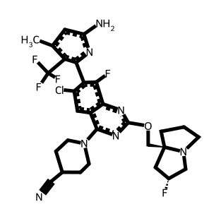 Cc1cc(N)nc(-c2c(Cl)cc3c(N4CCC(C#N)CC4)nc(OC[C@@]45CCCN4C[C@H](F)C5)nc3c2F)c1C(F)(F)F